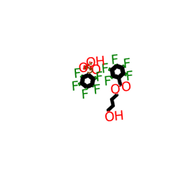 O=C(OCCCCO)c1c(F)c(F)c(F)c(F)c1F.O=S(=O)(O)c1c(F)c(F)c(F)c(F)c1F